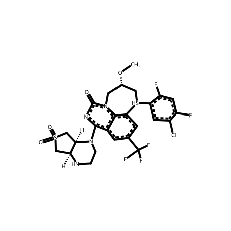 CO[C@H]1Cn2c(=O)nc(N3CCN[C@H]4CS(=O)(=O)C[C@H]43)c3cc(C(F)(F)F)cc(c32)[SH](c2cc(Cl)c(F)cc2F)C1